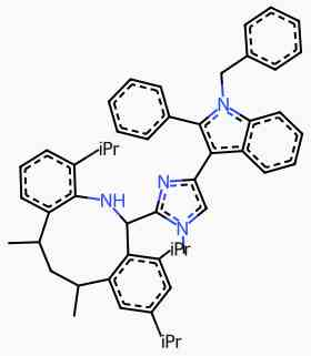 CC(C)c1cc(C(C)C)c2c(c1)C(C)CC(C)c1cccc(C(C)C)c1NC2c1nc(-c2c(-c3ccccc3)n(Cc3ccccc3)c3ccccc23)cn1C